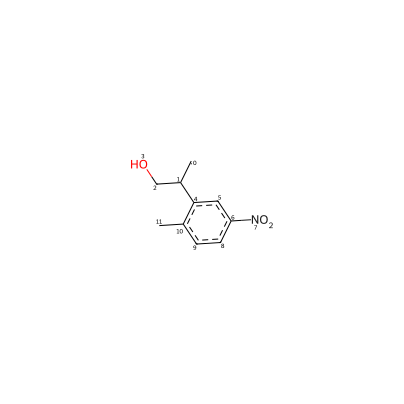 [CH2]C(CO)c1cc([N+](=O)[O-])ccc1C